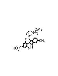 COC(=O)N1CCO[C@@H](Cc2c(-c3c(F)cc(C(=O)O)cc3F)[nH]c3cc(C)ccc23)C1